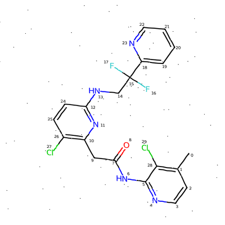 Cc1ccnc(NC(=O)Cc2nc(NCC(F)(F)c3ccccn3)ccc2Cl)c1Cl